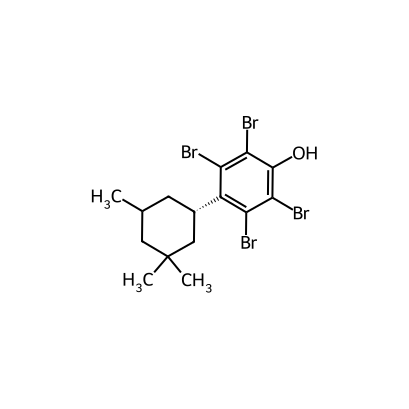 CC1C[C@H](c2c(Br)c(Br)c(O)c(Br)c2Br)CC(C)(C)C1